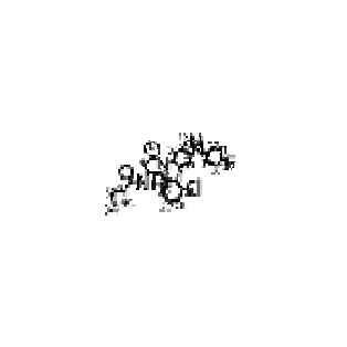 O=C(NC1CC(=O)N(c2ccc3c(cnn3-c3ccc(F)cc3)c2)C1c1cccc(Cl)c1)C1CCC1